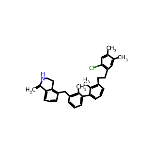 C=C1NCCc2c(Cc3cccc(-c4cccc(CCc5cc(C)c(C)cc5Cl)c4C)c3C)cccc21